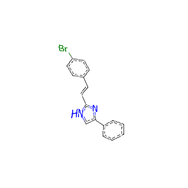 Brc1ccc(C=Cc2nc(-c3ccccc3)c[nH]2)cc1